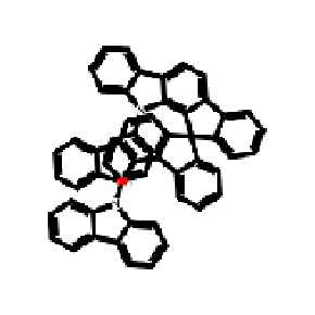 c1ccc2c(c1)-c1ccc3c4ccccc4n(-c4ccc(-n5c6ccccc6c6ccccc65)cc4)c3c1C21c2ccccc2-c2c1ccc1c2[nH]c2ccccc21